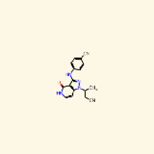 CC(CC#N)n1nc(Nc2ccc(C#N)cc2)c2c(=O)[nH]ccc21